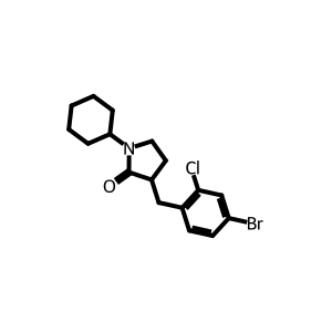 O=C1C(Cc2ccc(Br)cc2Cl)CCN1C1CCCCC1